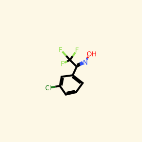 O/N=C(/c1cccc(Cl)c1)C(F)(F)F